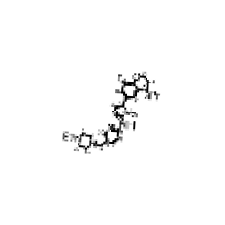 CCN1CCN(Cc2ccc(Nc3ncc(-c4cc(F)c5c(c4)N(C(C)C)CCO5)n3C)nc2)CC1